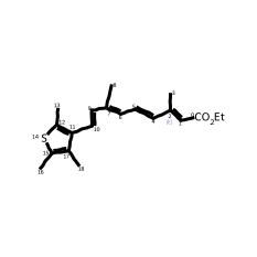 CCOC(=O)/C=C(\C)C=CC=C(C)C=Cc1c(C)sc(C)c1C